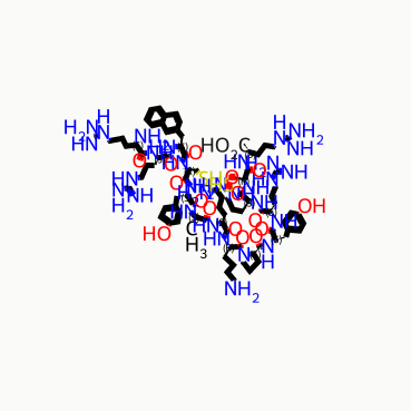 C[C@H](NC(=O)[C@H](Cc1ccc(O)cc1)NC(=O)[C@H](CS)NC(=O)[C@H](Cc1ccc2ccccc2c1)NC(=O)[C@H](CCCNC(=N)N)NC(=O)[C@@H](N)CCCNC(=N)N)C(=O)N[C@@H](CCCCN)C(=O)N[C@H](CCCCN)C(=O)N1CCC[C@H]1C(=O)N[C@@H](Cc1ccc(O)cc1)C(=O)N[C@@H](CCCNC(=N)N)C(=O)N[C@@H](CCCNC(N)=O)C(=O)N[C@@H](CS)C(=O)N[C@@H](CCCNC(=N)N)C(=O)O